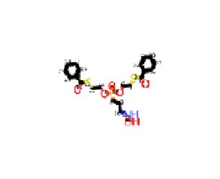 O=C(SCCOP(=O)(CCCNO)OCCSC(=O)c1ccccc1)c1ccccc1